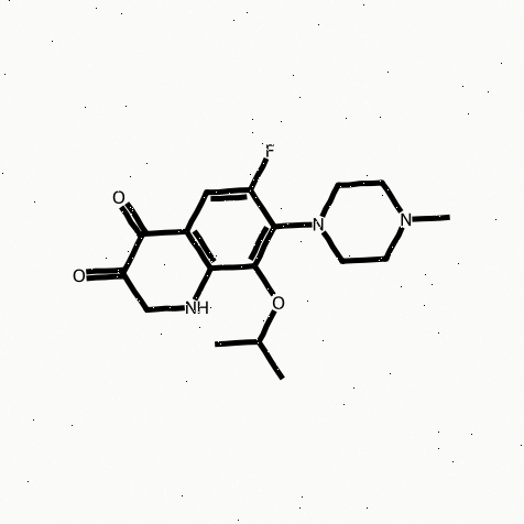 CC(C)Oc1c2c(cc(F)c1N1CCN(C)CC1)C(=O)C(=O)CN2